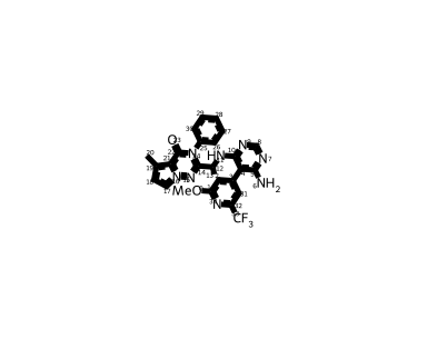 COc1cc(-c2c(N)ncnc2NC(C)c2nn3ccc(C)c3c(=O)n2-c2ccccc2)cc(C(F)(F)F)n1